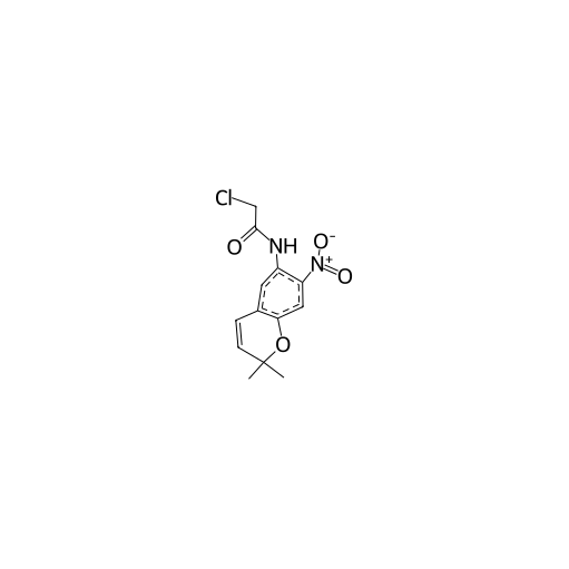 CC1(C)C=Cc2cc(NC(=O)CCl)c([N+](=O)[O-])cc2O1